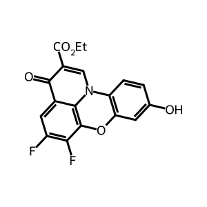 CCOC(=O)c1cn2c3c(c(F)c(F)cc3c1=O)Oc1cc(O)ccc1-2